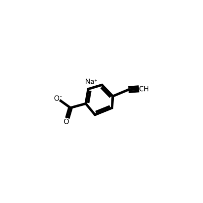 C#Cc1ccc(C(=O)[O-])cc1.[Na+]